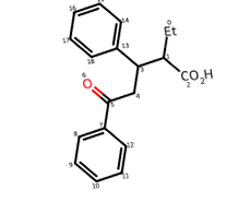 CCC(C(=O)O)C(CC(=O)c1ccccc1)c1ccccc1